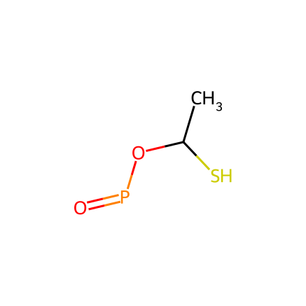 CC(S)OP=O